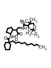 CCCCCCCCCCC1(C(=O)NC2CCCC2C(CNC(=O)C2OC(C)(C)OCC2(C)C)C(=O)O)CCCCC1